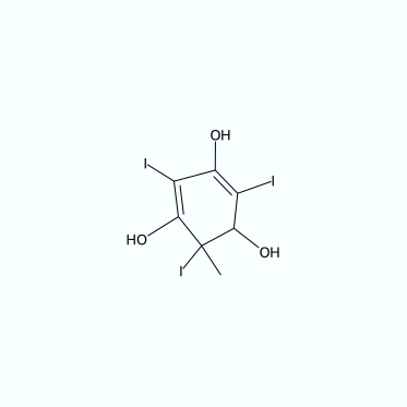 CC1(I)C(O)=C(I)C(O)=C(I)C1O